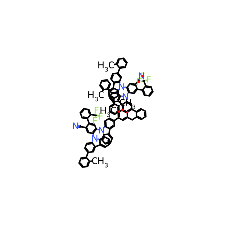 Cc1ccccc1-c1ccc2c(c1)c1ccccc1n2-c1cc(C#N)c(-c2ccccc2C(F)(F)F)cc1-n1c2ccccc2c2cc(-c3cc(Cc4ccccc4-c4ccc5c6ccc(-c7ccccc7C)cc6n(-c6cc(-c7ccccc7C(F)(F)F)c(C#N)cc6-n6c7cc(-c8ccccc8C)ccc7c7ccc(-c8ccccc8C)cc76)c5c4)ccc3C)ccc21